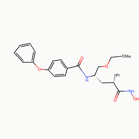 CCC[C@@H](C[C@@H](COCOC)NC(=O)c1ccc(Oc2ccccc2)cc1)C(=O)NO